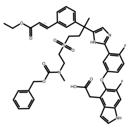 CCOC(=O)/C=C/c1cccc(C(C)(CCS(=O)(=O)CCN(C)C(=O)OCc2ccccc2)c2cnc(-c3cc(Oc4c(F)cc5[nH]ccc5c4CC(=O)O)ccc3F)[nH]2)c1